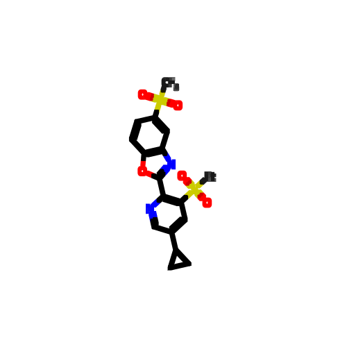 CCS(=O)(=O)c1cc(C2CC2)cnc1-c1nc2cc(S(=O)(=O)C(F)(F)F)ccc2o1